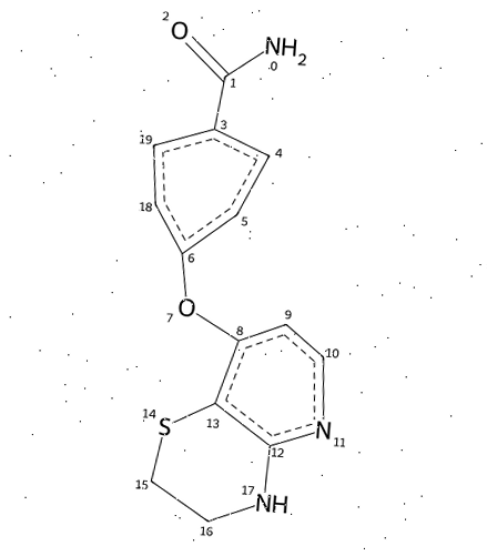 NC(=O)c1ccc(Oc2ccnc3c2SCCN3)cc1